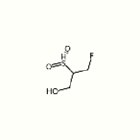 O=[SH](=O)C(CO)CF